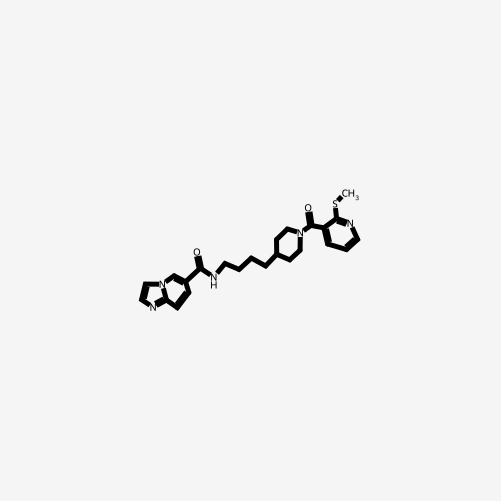 CSc1ncccc1C(=O)N1CCC(CCCCNC(=O)c2ccc3nccn3c2)CC1